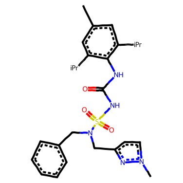 Cc1cc(C(C)C)c(NC(=O)NS(=O)(=O)N(Cc2ccccc2)Cc2ccn(C)n2)c(C(C)C)c1